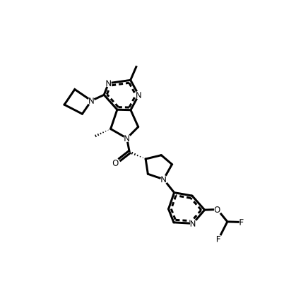 Cc1nc2c(c(N3CCC3)n1)[C@@H](C)N(C(=O)[C@@H]1CCN(c3ccnc(OC(F)F)c3)C1)C2